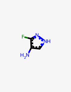 Nc1c[nH]nc1F